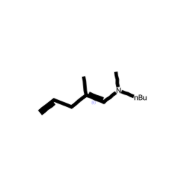 C=CC/C(C)=C/N(C)CCCC